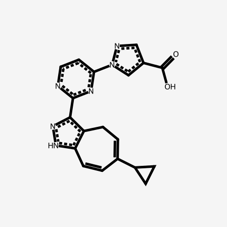 O=C(O)c1cnn(-c2ccnc(-c3n[nH]c4c3CC=C(C3CC3)C=C4)n2)c1